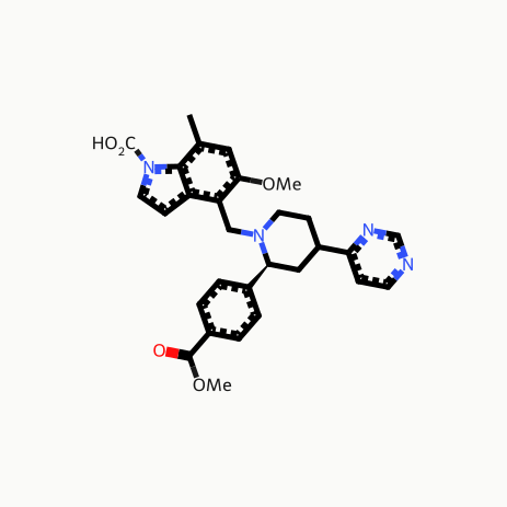 COC(=O)c1ccc([C@@H]2CC(c3ccncn3)CCN2Cc2c(OC)cc(C)c3c2ccn3C(=O)O)cc1